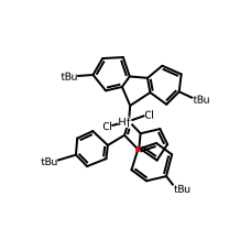 CC(C)(C)c1ccc([C](c2ccc(C(C)(C)C)cc2)=[Hf]([Cl])([Cl])([CH]2C=CC=C2)[CH]2c3cc(C(C)(C)C)ccc3-c3ccc(C(C)(C)C)cc32)cc1